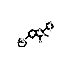 Cn1c(-c2cncs2)nc2ccc(N3CCN4CCC3CC4)cc2c1=O